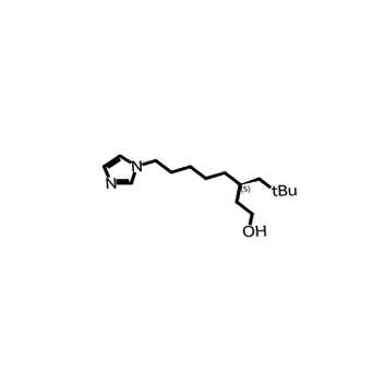 CC(C)(C)C[C@@H](CCO)CCCCCn1ccnc1